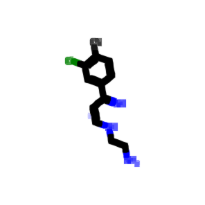 N#Cc1ccc(C(=N)/C=C\NCCN)cc1Cl